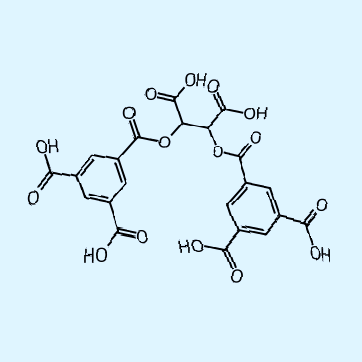 O=C(O)c1cc(C(=O)O)cc(C(=O)OC(C(=O)O)C(OC(=O)c2cc(C(=O)O)cc(C(=O)O)c2)C(=O)O)c1